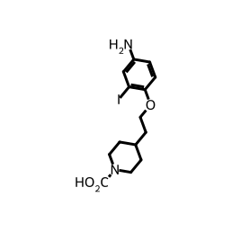 Nc1ccc(OCCC2CCN(C(=O)O)CC2)c(I)c1